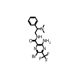 CN(C)C(CNC(=O)c1nc(Br)c(C(F)(F)F)nc1N)c1ccccc1